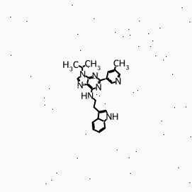 Cc1cncc(-c2nc(NCCC3=CNC4C=CC=CC34)c3ncn(C(C)C)c3n2)c1